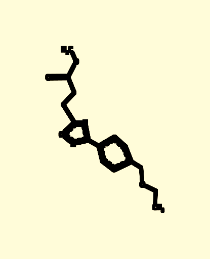 CCOCc1ccc(-c2noc(CCC(=O)OC)n2)cc1